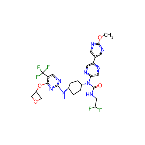 COc1ncc(-c2cnc(N(C(=O)NCC(F)F)[C@H]3CC[C@H](Nc4ncc(C(F)(F)F)c(OC5COC5)n4)CC3)cn2)cn1